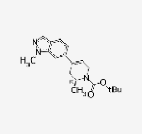 C[C@H]1CC(c2ccc3cnn(C)c3c2)=CCN1C(=O)OC(C)(C)C